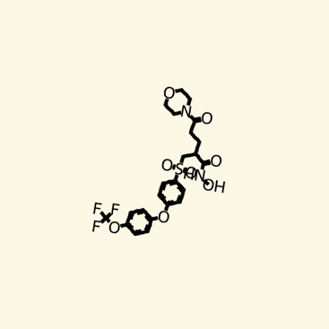 O=C(NO)C(CCC(=O)N1CCOCC1)CS(=O)(=O)c1ccc(Oc2ccc(OC(F)(F)F)cc2)cc1